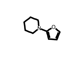 c1coc(N2CCCCC2)c1